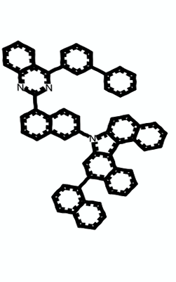 c1ccc(-c2cccc(-c3nc(-c4cccc5cc(-n6c7ccc8ccccc8c7c7c8ccccc8c(-c8cccc9ccccc89)cc76)ccc45)nc4ccccc34)c2)cc1